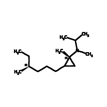 CC[C@@H](C)CCCC1C[C@@]1(C)N(C)C(C)C